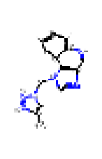 FC(F)(F)c1cn(Cn2cnc3cnc4ccccc4c32)nn1